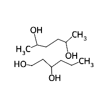 CC(O)CCC(C)O.CCCC(O)CCO